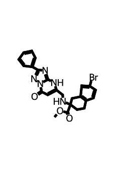 COC(=O)C1(NCc2cc(=O)n3nc(-c4ccccc4)nc3[nH]2)CCc2ccc(Br)cc2C1